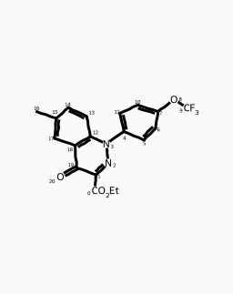 CCOC(=O)c1nn(-c2ccc(OC(F)(F)F)cc2)c2ccc(C)cc2c1=O